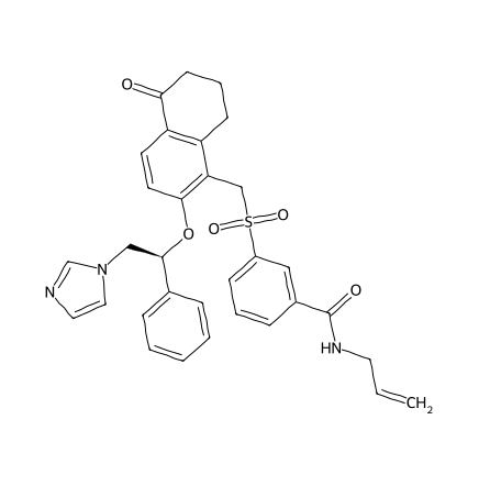 C=CCNC(=O)c1cccc(S(=O)(=O)Cc2c(O[C@H](Cn3ccnc3)c3ccccc3)ccc3c2CCCC3=O)c1